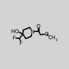 COCC(=O)N1CCC(O)(C(F)F)CC1